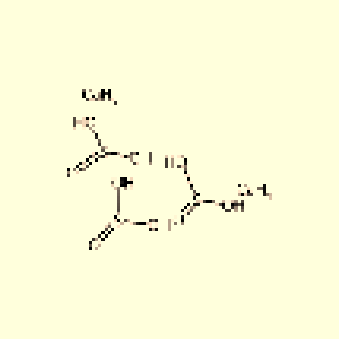 O=S(O)O.O=S(O)O.O=S(O)O.[CaH2].[CaH2]